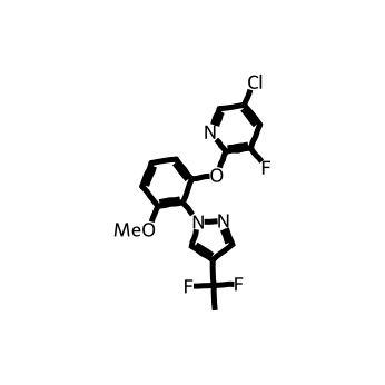 COc1cccc(Oc2ncc(Cl)cc2F)c1-n1cc(C(C)(F)F)cn1